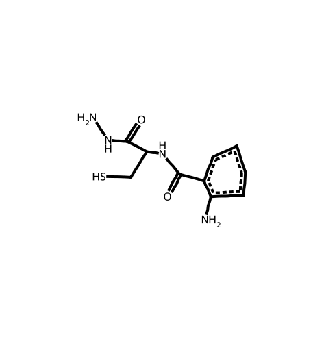 NNC(=O)C(CS)NC(=O)c1ccccc1N